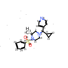 C[C@@H]1CN(C(c2ccncc2)C2CC2)CCN1S(=O)(=O)c1cc[c]cc1